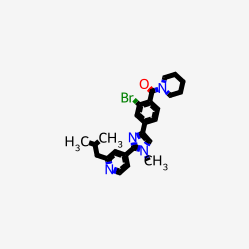 CC(C)Cc1cc(-c2nc(-c3ccc(C(=O)N4CCCCC4)c(Br)c3)cn2C)ccn1